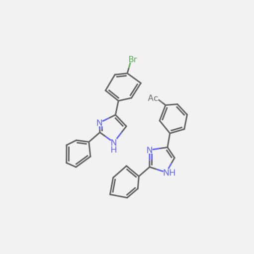 Brc1ccc(-c2c[nH]c(-c3ccccc3)n2)cc1.CC(=O)c1cccc(-c2c[nH]c(-c3ccccc3)n2)c1